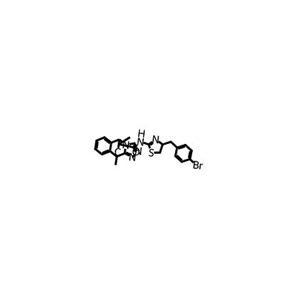 CC12CC(C)(C(=O)NC3=NC(Cc4ccc(Br)cc4)CS3)C(c3ccccc31)n1cnnc12